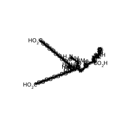 CNC(CCCNC(N)=O)C(=O)Nc1ccc(C[N+](C)(C)CC#Cc2ccc(OCCCc3sc(N(C)c4cc(C)c(Nc5nc6ccccc6s5)nn4)nc3C(=O)O)c(F)c2)c(CN(C/C(=C/NCCOCCOCCOCCOCCOCCOCCOCCOCCC(=O)O)N=N)C(=O)OC/C(=C/NCCOCCOCCOCCOCCOCCOCCOCCOCCC(=O)O)N=N)c1